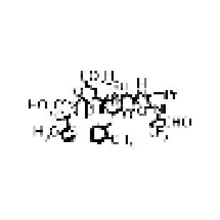 Cc1ccccc1C[C@H](NC(=O)[C@H](CCC(=O)O)NC(=O)[C@H](CC(=O)O)NC(=O)c1sccc1C)C(=O)N[C@H](C(=O)N[C@@H](CC(C)C)C(=O)NC(C=O)CC(F)(F)F)C(C)(C)C